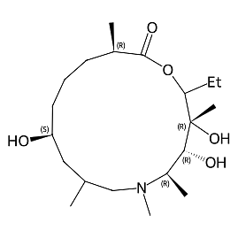 CCC1OC(=O)[C@H](C)CCC[C@H](O)CC(C)CN(C)[C@H](C)[C@@H](O)[C@@]1(C)O